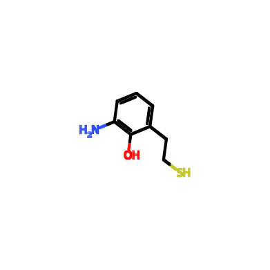 Nc1cccc(CCS)c1O